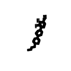 CCCCC1CCC(C2CCC(c3ccc(C#N)c(F)c3F)CC2)CC1